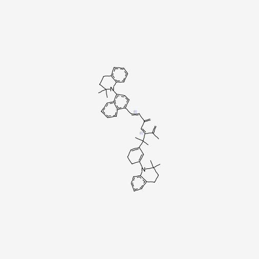 C=C(/C=C/c1ccc(N2c3ccccc3CCC2(C)C)c2ccccc12)/C=C(\C(=C)C)C(C)(C)C1=CCCC(N2c3ccccc3CCC2(C)C)=C1